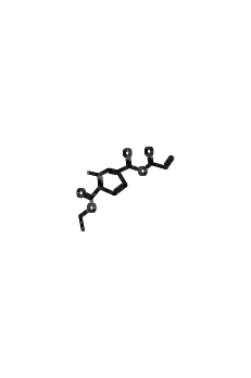 C=CC(=O)OC(=O)c1ccc(C(=O)OCC)c(C)c1